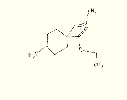 C/C=C/C1(C(=O)OCC)CCC(N)CC1